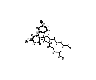 CCCCCCCCC1(CCCCCCCC)c2ccc(Br)cc2-c2cc(Br)ccc21